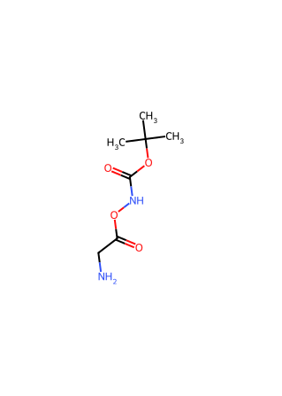 CC(C)(C)OC(=O)NOC(=O)CN